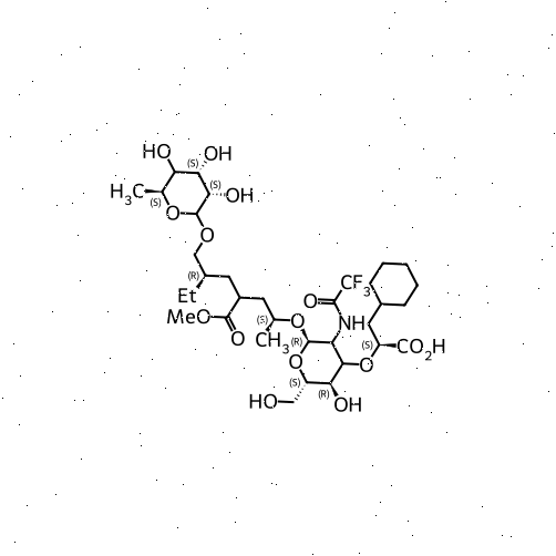 CC[C@@H](COC1O[C@@H](C)C(O)[C@H](O)[C@@H]1O)CC(C[C@H](C)O[C@@H]1O[C@@H](CO)[C@H](O)C(O[C@@H](CC2CCCCC2)C(=O)O)C1NC(=O)C(F)(F)F)C(=O)OC